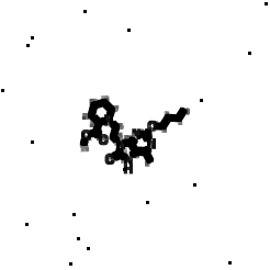 CCCCOc1nc(C)c2[nH]c(=O)n(CCN3CCCCC3C(=O)OC)c2n1